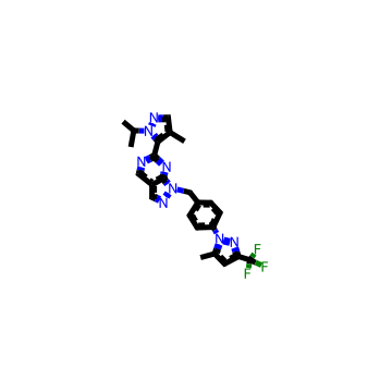 Cc1cnn(C(C)C)c1-c1ncc2cnn(Cc3ccc(-n4nc(C(F)(F)F)cc4C)cc3)c2n1